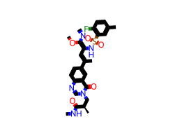 C=N/C(OC)=C(/C=C(\C)c1ccc2ncn(C[C@@H](C)C(=O)NC)c(=O)c2c1)NS(=O)(=O)c1cc(C)ccc1F